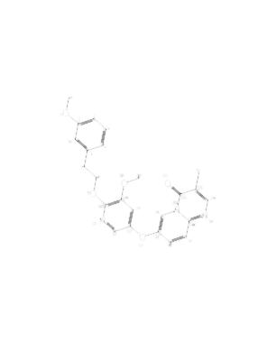 COc1cccc(CCOc2ncc(Oc3ccc4ncc(C)c(=O)n4c3)cc2OC)c1